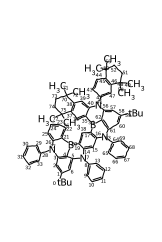 CC(C)(C)c1cc2c3c(c1)N(c1ccccc1)c1cc4c(cc1B3c1ccccc1N2c1ccccc1)B1c2cc3c(cc2N(c2ccc5c(c2)C(C)(C)CCC5(C)C)c2cc(C(C)(C)C)cc(c21)N4c1ccccc1)C(C)(C)CCC3(C)C